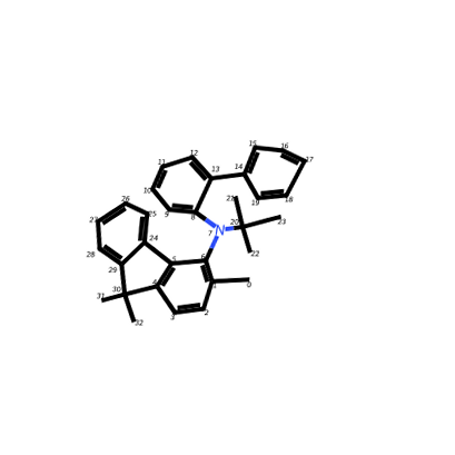 Cc1ccc2c(c1N(c1ccccc1-c1ccccc1)C(C)(C)C)-c1ccccc1C2(C)C